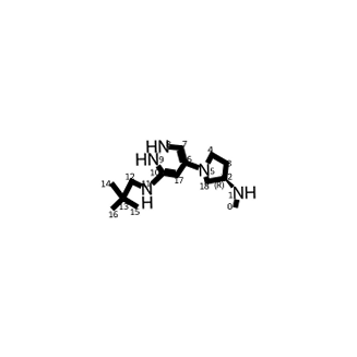 CN[C@@H]1CCN(C2=CNNC(NCC(C)(C)C)=C2)C1